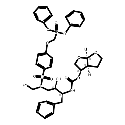 CC(C)CN(C[C@@H](O)[C@H](Cc1ccccc1)NC(=O)O[C@H]1CO[C@H]2OCC[C@H]21)S(=O)(=O)c1ccc(OCP(=O)(Oc2ccccc2)Oc2ccccc2)cc1